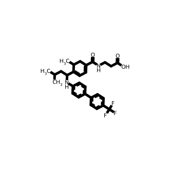 CC(C)CC(Nc1ccc(-c2ccc(C(F)(F)F)cc2)cc1)C1=CC=C(C(=O)NCCC(=O)O)CC1C